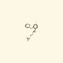 Cc1ccc(OCCCCN(C)C)c(Cc2ccccc2)c1